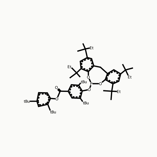 CCC(C)(C)c1cc2c(c(C(C)(C)CC)c1)OP(Oc1c(C(C)(C)C)cc(C(=O)Oc3ccc(C(C)(C)C)cc3C(C)(C)C)cc1C(C)(C)C)Oc1c(cc(C(C)(C)CC)cc1C(C)(C)CC)C2